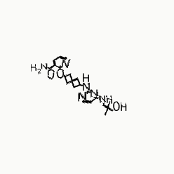 CC(C)(CO)CNc1ccnc(NC2CC3(C2)CC(Oc2ncccc2C(N)=O)C3)n1